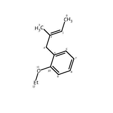 CC=C(C)Cc1ccccc1OCC